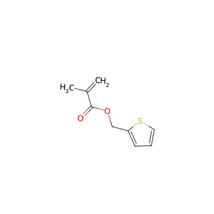 C=C(C)C(=O)OCc1cccs1